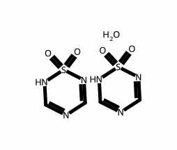 O.O=S1(=O)N=CN=CN1.O=S1(=O)N=CN=CN1